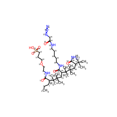 CCCC(C(=O)NCCOCCCS(=O)(=O)O)C(C)(C)C(C)(C)CC(C(=O)NCCCCCNC(=O)CN=[N+]=[N-])C(C)(C)C(C)(C)CC(C(N)=O)C(C)(C)C